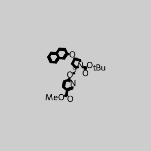 COC(=O)c1ccc(OC[C@@H]2C[C@H](Oc3ccc4ccccc4c3)CN2C(=O)OC(C)(C)C)nc1